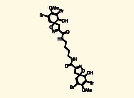 COC1=C(Br)C(O)C2(C=C1Br)CC(C(=O)NCCCCNC(=O)C1=NOC3(C=C(Br)C(OC)=C(Br)C3O)C1)=NO2